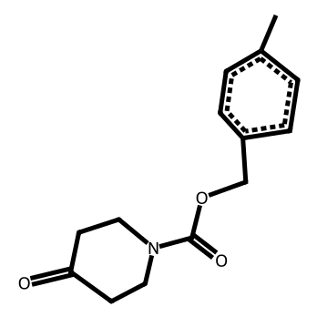 Cc1ccc(COC(=O)N2CCC(=O)CC2)cc1